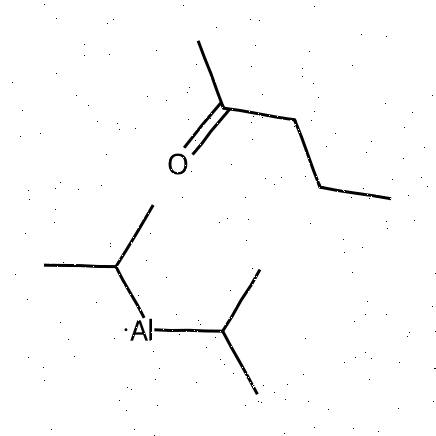 CCCC(C)=O.C[CH](C)[Al][CH](C)C